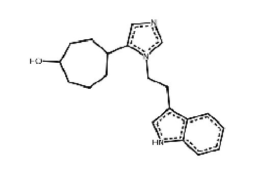 OC1CCCC(c2cncn2CCc2c[nH]c3ccccc23)CC1